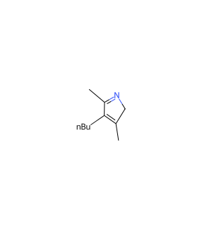 CCCCC1=C(C)CN=C1C